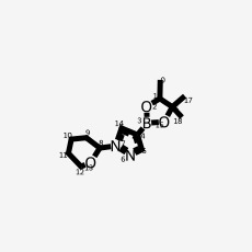 CC1OB(c2cnn(C3CCCCO3)c2)OC1(C)C